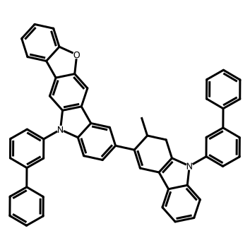 CC1Cc2c(c3ccccc3n2-c2cccc(-c3ccccc3)c2)C=C1c1ccc2c(c1)c1cc3oc4ccccc4c3cc1n2-c1cccc(-c2ccccc2)c1